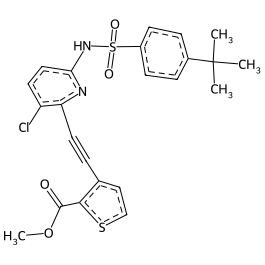 COC(=O)c1sccc1C#Cc1nc(NS(=O)(=O)c2ccc(C(C)(C)C)cc2)ccc1Cl